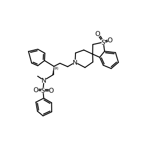 CN(C[C@H](CCN1CCC2(CC1)CS(=O)(=O)c1ccccc12)c1ccccc1)S(=O)(=O)c1ccccc1